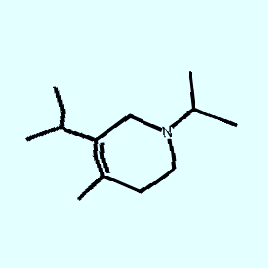 CC1=C(C(C)C)CN(C(C)C)CC1